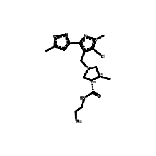 Cc1cc(-c2nn(C)c(Cl)c2CN2C[C@@H](C)[C@H](C(=O)NCCC(C)(C)C)C2)no1